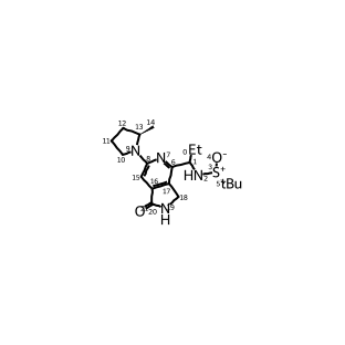 CCC(N[S@+]([O-])C(C)(C)C)c1nc(N2CCC[C@H]2C)cc2c1CNC2=O